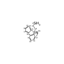 CN(C)C(CC[SiH3])(c1ccccc1)c1ccccc1